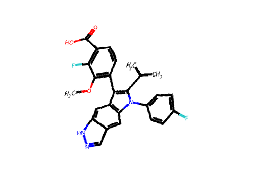 COc1c(-c2c(C(C)C)n(-c3ccc(F)cc3)c3cc4cn[nH]c4cc23)ccc(C(=O)O)c1F